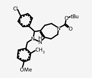 COc1ccc(CN2NC3=C(CCN(C(=O)OC(C)(C)C)CC3)C2c2ccc(Cl)cc2)c(C)c1